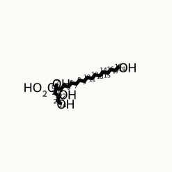 O=C(O)C(O)(CCCCCCCCCCCCCCCCO)CC(O)CO